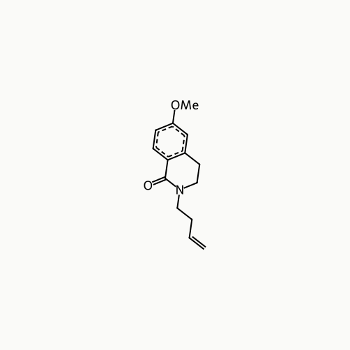 C=CCCN1CCc2cc(OC)ccc2C1=O